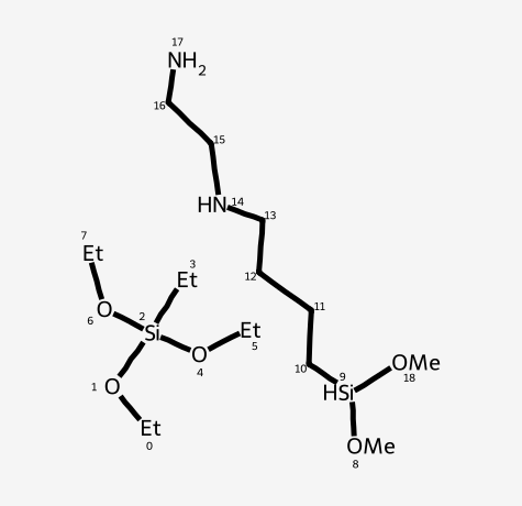 CCO[Si](CC)(OCC)OCC.CO[SiH](CCCCNCCN)OC